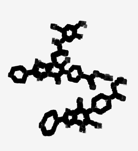 CCc1[nH]c2nc(N3CCOCC3)nn2c(=O)c1N1CCN(C(=O)OC(C)(C)C)CC1.CCc1c(N2CCN(C(=O)OC(C)(C)C)CC2)c(=O)n2nc(N3CCOCC3)nc2n1CC(=O)Nc1cc(F)c(C(F)(F)F)cc1Cl